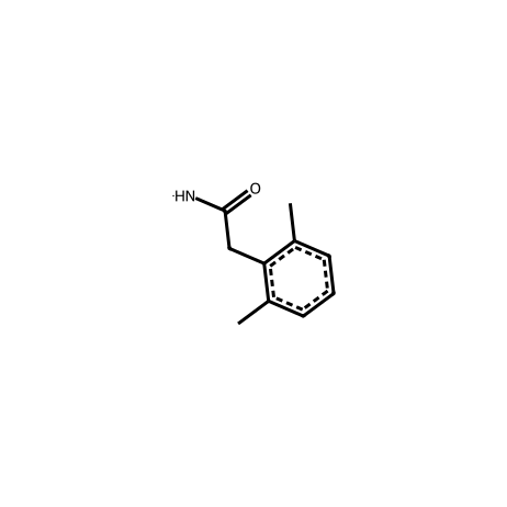 Cc1cccc(C)c1CC([NH])=O